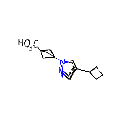 O=C(O)C12CC(n3cc(C4CCC4)cn3)(C1)C2